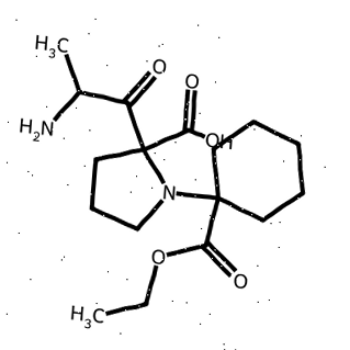 CCOC(=O)C1(N2CCCC2(C(=O)O)C(=O)C(C)N)CCCCC1